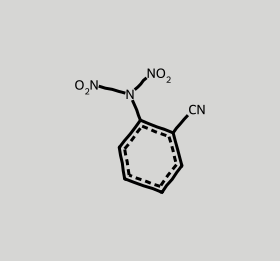 N#Cc1ccccc1N([N+](=O)[O-])[N+](=O)[O-]